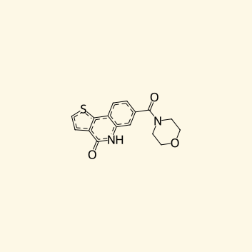 O=C(c1ccc2c(c1)[nH]c(=O)c1ccsc12)N1CCOCC1